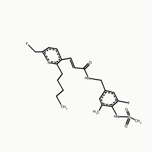 CCCCCc1nc(CF)ccc1/C=C/C(=O)NCc1cc(C)c(NS(C)(=O)=O)c(F)c1